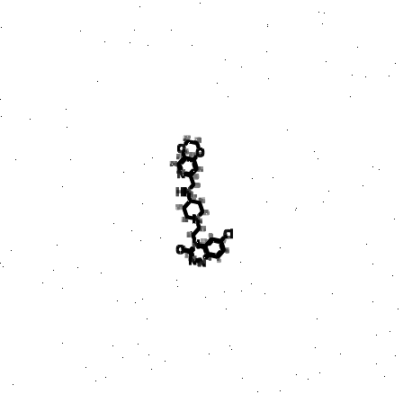 O=c1nnc2ccc(Cl)cc2n1CCN1CCC(NCc2cc3c(cn2)OCCO3)CC1